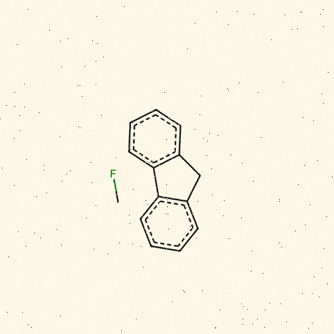 CF.c1ccc2c(c1)Cc1ccccc1-2